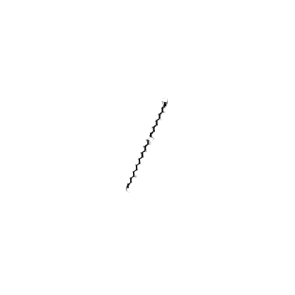 CCCCCCCCCCCCCCCCSCCCCCCCCC[C]=O